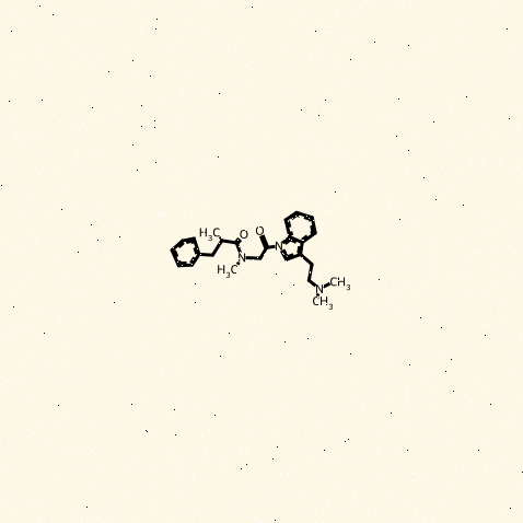 C[C@@H](Cc1ccccc1)C(=O)N(C)CC(=O)n1cc(CCN(C)C)c2ccccc21